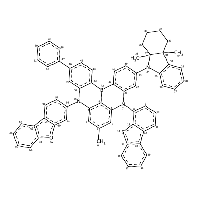 Cc1cc2c3c(c1)N(c1cccc4c1sc1ccccc14)c1cc(N4c5ccccc5C5(C)CCCCC45C)ccc1B3c1ccc(-c3ccccc3)cc1N2c1ccc2c(c1)oc1ccccc12